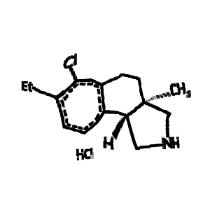 CCc1ccc2c(c1Cl)CC[C@@]1(C)CNC[C@H]21.Cl